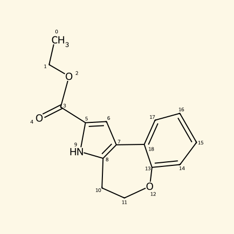 CCOC(=O)c1cc2c([nH]1)CCOc1ccccc1-2